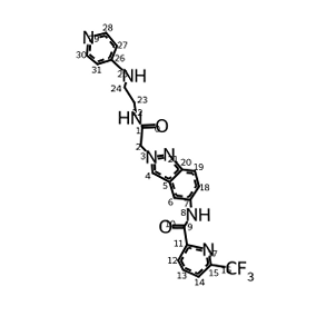 O=C(Cn1cc2cc(NC(=O)c3cccc(C(F)(F)F)n3)ccc2n1)NCCNc1ccncc1